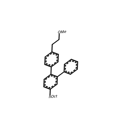 CCCCCCCCc1ccc(-c2ccc(CCOC)cc2)c(-c2ccccc2)c1